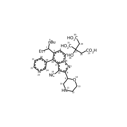 CCCCC(CC)c1ccn2nc(C3CNCCO3)c(C#N)c2c1-c1cccnc1.O=C(O)CC(O)(CC(=O)O)C(=O)O